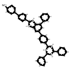 N#Cc1ccc(-c2ccc(-c3nc4c(-c5ccccc5)cc(-c5ccc(-c6nc(-c7ccccc7)nc(-c7ccccc7)n6)cc5)cc4o3)cc2)cc1